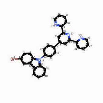 Brc1ccc2c(c1)c1ccccc1n2-c1ccc(-c2cc(-c3ccccn3)nc(-c3ccccn3)c2)cc1